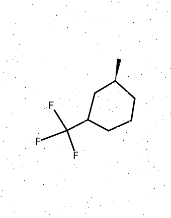 C[C@H]1CCCC(C(F)(F)F)C1